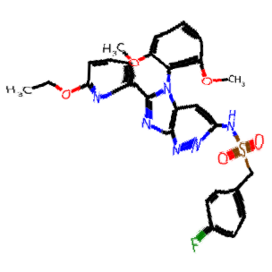 CCOc1cccc(-c2nc3nnc(NS(=O)(=O)Cc4ccc(F)cc4)cc3n2-c2c(OC)cccc2OC)n1